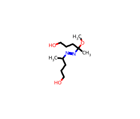 COC(C)(CCCO)N=NC(C)CCCO